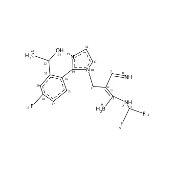 B/C(NC(F)F)=C(/C=N)Cn1ccnc1-c1ccc(F)cc1C(C)O